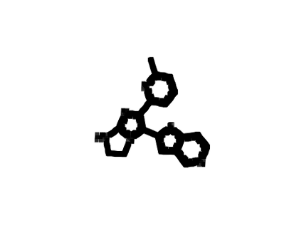 Cc1cccc(-c2nc3n(c2-c2cc4cnccc4s2)CCN3)n1